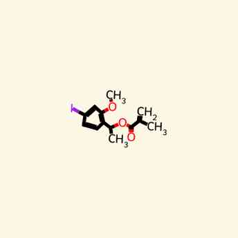 C=C(C)C(=O)OC(C)c1ccc(I)cc1OC